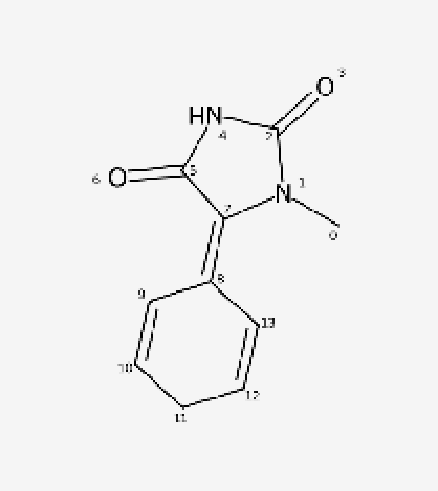 CN1C(=O)NC(=O)C1=C1C=CCC=C1